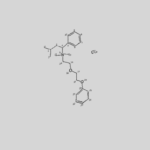 CC(C)CC(c1ccccc1)[N+](C)(C)CCOCCOc1ccccc1.[Cl-]